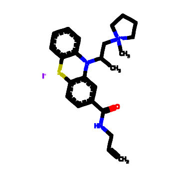 C=CCNC(=O)c1ccc2c(c1)N(C(C)C[N+]1(C)CCCC1)c1ccccc1S2.[I-]